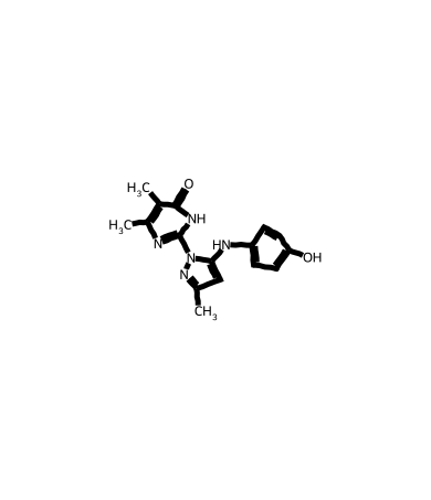 Cc1cc(Nc2ccc(O)cc2)n(-c2nc(C)c(C)c(=O)[nH]2)n1